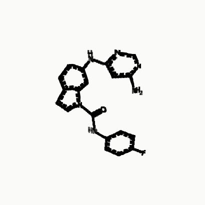 Nc1cc(Nc2ccc3ccn(C(=O)Nc4ccc(F)cc4)c3c2)ncn1